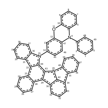 c1ccc(N2c3ccccc3Oc3cc(-n4c5ccccc5c5c6ccccc6c6c7cccc8c9ccccc9n(c87)c6c54)ccc32)cc1